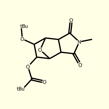 CN1C(=O)C2C3OC(C(OC(C)(C)C)C3OC(=O)C(C)(C)C)C2C1=O